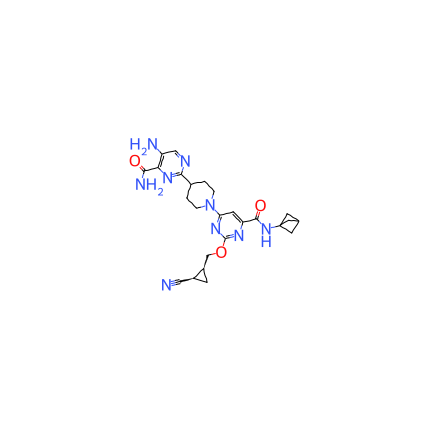 N#C[C@@H]1C[C@@H]1COc1nc(C(=O)NC23CC(C2)C3)cc(N2CCC(c3ncc(N)c(C(N)=O)n3)CC2)n1